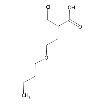 CCCCOCCC(CCl)C(=O)O